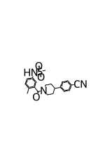 Cc1ccc(NS(C)(=O)=O)cc1C(=O)N1CCC(c2ccc(C#N)cc2)CC1